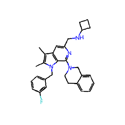 Cc1c(C)n(Cc2cccc(F)c2)c2c(N3CCc4ccccc4C3)nc(CNC3CCC3)cc12